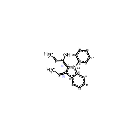 C=C/C(S)=c1\c(=C/C)c2ccccc2n1-c1ccccc1